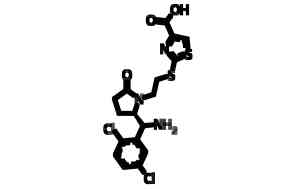 NC(c1cc(Cl)ccc1Cl)[C@H]1CCC(=O)N1CCSc1nc(C(=O)O)cs1